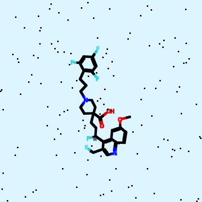 COc1ccc2ncc(CF)c([C@@H](F)CCC3(C(=O)O)CCN(CCCc4c(F)cc(F)cc4F)CC3)c2c1